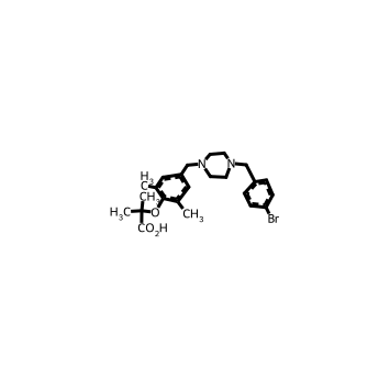 Cc1cc(CN2CCN(Cc3ccc(Br)cc3)CC2)cc(C)c1OC(C)(C)C(=O)O